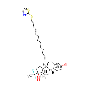 C[C@]12CCC(=O)C=C1C[C@@H](CCCCCCCCCCCCCSc1nccs1)[C@@H]1[C@@H]2CC[C@@]2(C)[C@H]1CC[C@@]2(O)C(F)(F)C(F)(F)F